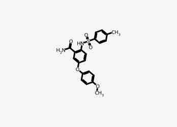 COc1ccc(Oc2ccc(NS(=O)(=O)c3ccc(C)cc3)c(C(N)=O)c2)cc1